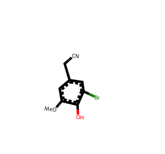 COc1cc(CC#N)cc(Br)c1O